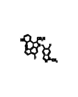 Cn1ncc2cc(CN3c4cc(F)c5ccoc5c4C(c4ccc[nH]c4=O)C3C(=O)O)c(F)cc21